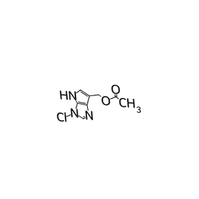 CC(=O)OCc1c[nH]c2c1ncn2Cl